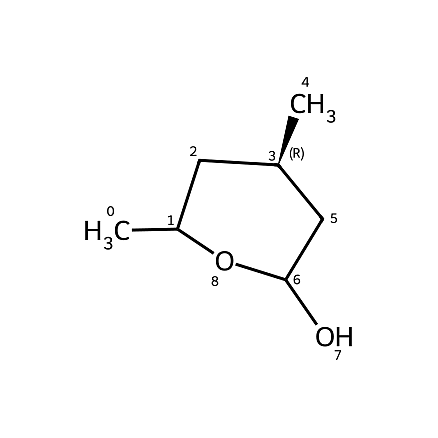 CC1C[C@@H](C)CC(O)O1